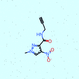 C#CCNC(=O)c1nn(C)cc1[N+](=O)[O-]